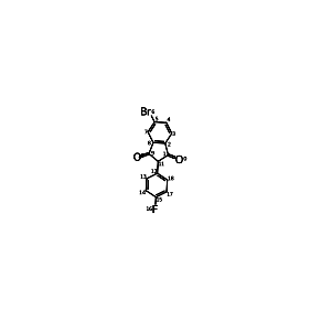 O=C1c2ccc(Br)cc2C(=O)C1c1ccc(F)cc1